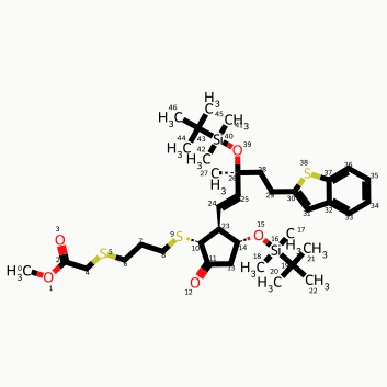 COC(=O)CSCCCS[C@H]1C(=O)C[C@@H](O[Si](C)(C)C(C)(C)C)[C@@H]1/C=C/[C@](C)(CCc1cc2ccccc2s1)O[Si](C)(C)C(C)(C)C